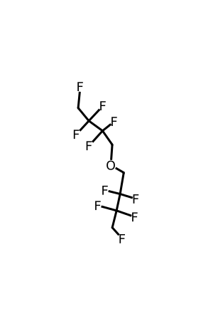 FCC(F)(F)C(F)(F)COCC(F)(F)C(F)(F)CF